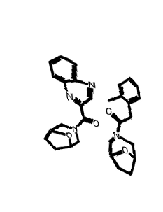 Cc1ccccc1CC(=O)N1CC2CCC(C1)O2.O=C(c1cnc2ccccc2n1)N1CC2CCC(C1)O2